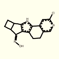 O/N=C1\c2c([nH]c3c2CCc2cnc(Cl)cc2-3)C2CCC12